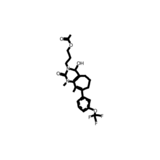 CC(=O)OCCCN1C(=O)N(C)C2=C(CCCC(c3cccc(OC(F)(F)F)c3)=C2C)C1O